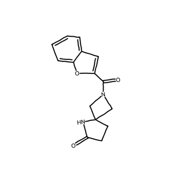 O=C1CCC2(CN(C(=O)c3cc4ccccc4o3)C2)N1